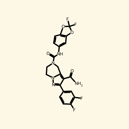 NC(=O)c1c(-c2ccc(F)c(F)c2)nn2c1CN(C(=O)Nc1ccc3c(c1)OC(F)(F)O3)CC2